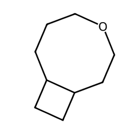 C1COCCC2CCC2C1